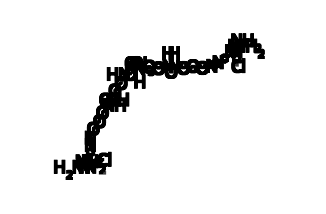 CN(CC(=O)NCCOCCOCCNC(=O)NCCOCCOCCOCCN1CCN(c2ccc(-c3nc(N=C(N)N)nc4ccc(Cl)cc34)cc2)CC1)CC(=O)NCCOCCOCCNC(=O)NCCOCCOCCOCCN1CCN(c2ccc(-c3nc(N=C(N)N)nc4ccc(Cl)cc34)cc2)CC1